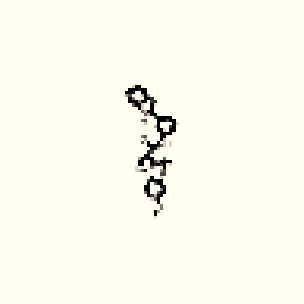 COc1ccc(-n2ncc(C(=O)Nc3cccc(-c4nc5ccccc5[nH]4)c3)c2C(F)(F)F)cc1